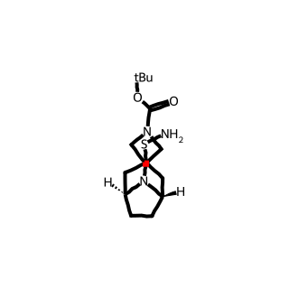 CC(C)(C)OC(=O)N1CC(N2[C@H]3CC[C@H]2CC(SN)C3)C1